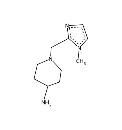 Cn1ccnc1CN1CCC(N)CC1